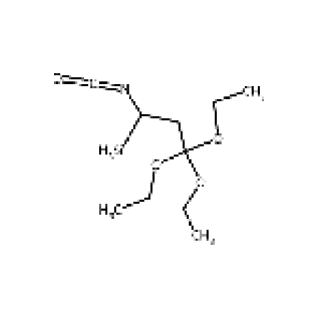 CCOC(CC([SiH3])N=C=O)(OCC)OCC